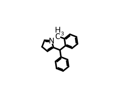 Cc1ccccc1C(C1=CCC=N1)c1ccccc1